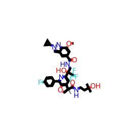 COc1cc(C(=O)NCC(O)(c2cc3c(c(-c4ccc(F)cc4)n2)OC[C@]3(C)C(=O)NCCC(C)(C)O)C(F)(F)F)cc2cn(C3CC3)nc12